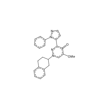 COc1cn(C2CCc3ccccc3C2)nc(-c2ccnn2-c2ccccc2)c1=O